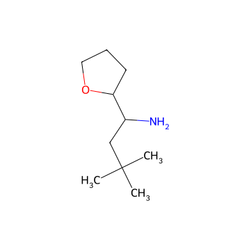 CC(C)(C)CC(N)C1CCCO1